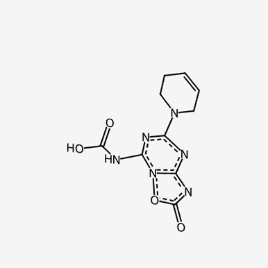 O=C(O)Nc1nc(N2CC=CCC2)nc2nc(=O)on12